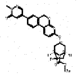 Cn1ncc(-c2ccc3c(c2)COc2nc(O[C@@H]4C[C@H]5CC(F)(F)[C@@H](C4)N5C(=O)OC(C)(C)C)ccc2-3)cc1=O